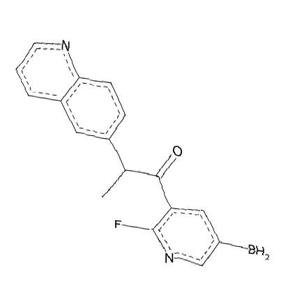 Bc1cnc(F)c(C(=O)C(C)c2ccc3ncccc3c2)c1